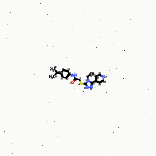 CCn1c(SCC(=O)Nc2ccc(C(C)C)cc2)nnc1-c1ccncc1